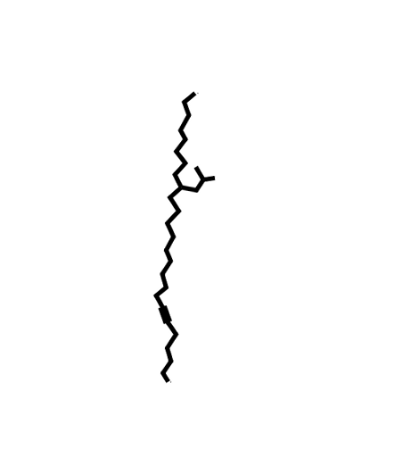 [CH2]CCCCC#CCCCCCCCCCC(CCCCCCC[CH2])CC(C)C